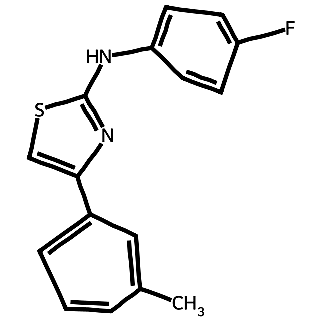 Cc1cccc(-c2csc(Nc3ccc(F)cc3)n2)c1